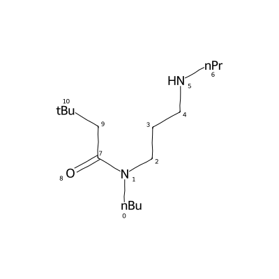 CCCCN(CCCNCCC)C(=O)CC(C)(C)C